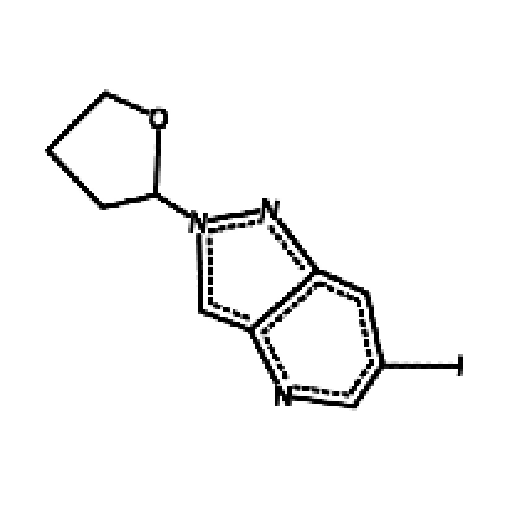 Ic1cnc2cn(C3CCCO3)nc2c1